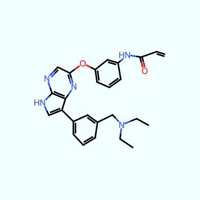 C=CC(=O)Nc1cccc(Oc2cnc3[nH]cc(-c4cccc(CN(CC)CC)c4)c3n2)c1